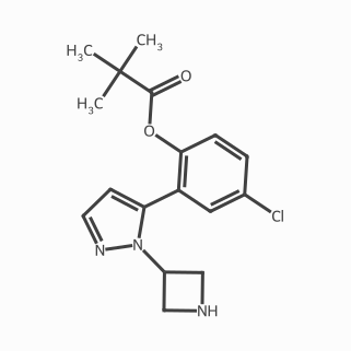 CC(C)(C)C(=O)Oc1ccc(Cl)cc1-c1ccnn1C1CNC1